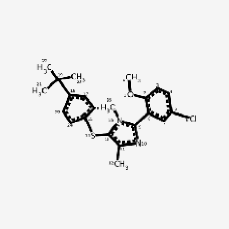 COc1ccc(Cl)cc1-c1nc(C)c(Sc2ccc(C(C)(C)C)cc2)n1C